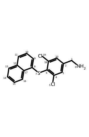 NCc1cc(Cl)c(Sc2cccc3ccccc23)c(Cl)c1